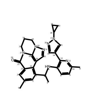 Cc1cc(C(C)Nc2ccc(C)nc2-c2cnn(C3CC3)c2)c2c(c1)c(=O)n1c3c2cnn3CCC1